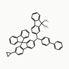 CC1(C)c2ccccc2-c2ccc(N(c3ccc(-c4ccccc4)cc3)c3ccc4c(c3)C3(c5ccccc5-c5ccccc53)c3cc(C5CC5)ccc3-4)cc21